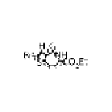 CCOC(=O)C1CCc2sc(Br)cc2C(C)N1